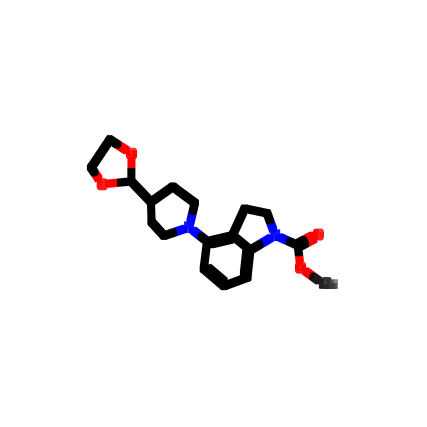 CC(C)(C)OC(=O)N1CCc2c(N3CCC(C4OCCO4)CC3)cccc21